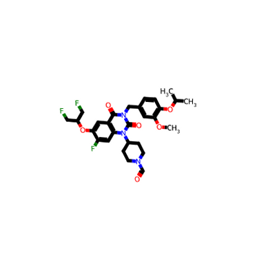 COc1cc(Cn2c(=O)c3cc(OC(CF)CF)c(F)cc3n(C3CCN(C=O)CC3)c2=O)ccc1OC(C)C